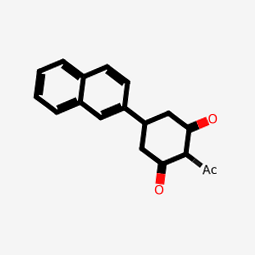 CC(=O)C1C(=O)CC(c2ccc3ccccc3c2)CC1=O